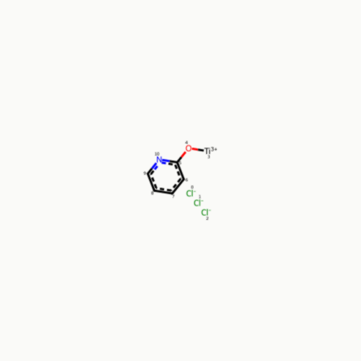 [Cl-].[Cl-].[Cl-].[Ti+3][O]c1ccccn1